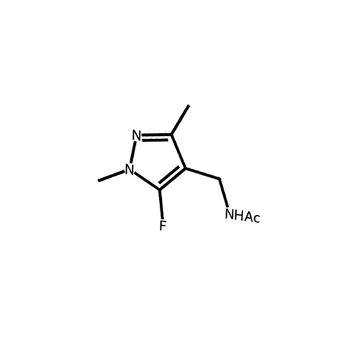 CC(=O)NCc1c(C)nn(C)c1F